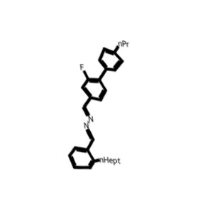 CCCCCCCc1ccccc1C=NN=Cc1ccc(-c2ccc(CCC)cc2)c(F)c1